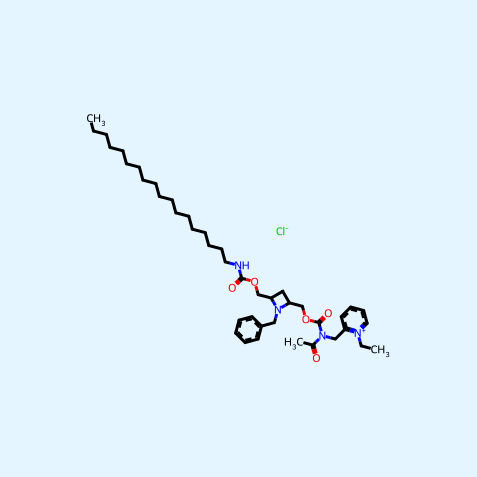 CCCCCCCCCCCCCCCCCCNC(=O)OCC1CC(COC(=O)N(Cc2cccc[n+]2CC)C(C)=O)N1Cc1ccccc1.[Cl-]